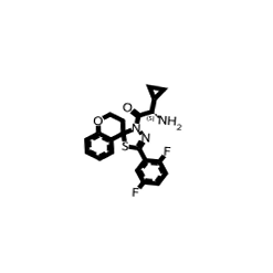 N[C@H](C(=O)N1N=C(c2cc(F)ccc2F)SC12CCOc1ccccc12)C1CC1